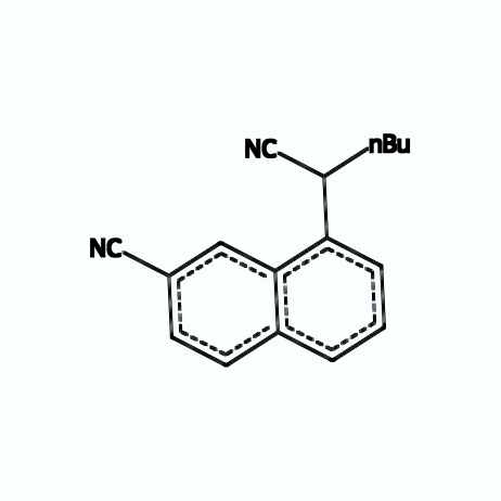 CCCCC(C#N)c1cccc2ccc(C#N)cc12